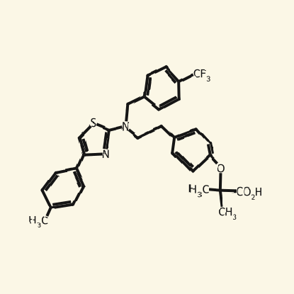 Cc1ccc(-c2csc(N(CCc3ccc(OC(C)(C)C(=O)O)cc3)Cc3ccc(C(F)(F)F)cc3)n2)cc1